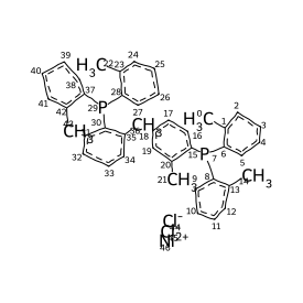 Cc1ccccc1P(c1ccccc1C)c1ccccc1C.Cc1ccccc1P(c1ccccc1C)c1ccccc1C.[Cl-].[Cl-].[Ni+2]